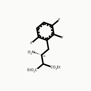 CCOC(=O)C(C(=O)OCC)[C@@H](Cc1c(F)ccc(F)c1F)[N+](=O)[O-]